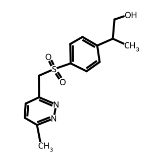 Cc1ccc(CS(=O)(=O)c2ccc(C(C)CO)cc2)nn1